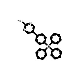 CC(C)(C)c1ncc(-c2ccc([Si](c3ccccc3)(c3ccccc3)c3ccccc3)cc2)cn1